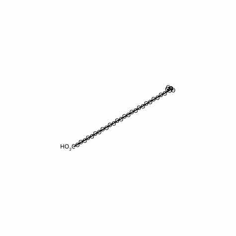 O=C(O)CCOCCOCCOCCOCCOCCOCCOCCOCCOCCOCCOCCOCCOCCOCCOCCOCCOCCOCCOCCOCCOCCOCCOCCOCCOCCC(=O)ON1C(=O)CCC1=O